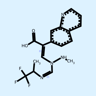 CNN(/C=N\C(C)C(F)(F)F)/C=C(/C(=O)O)c1ccc2cccnc2c1